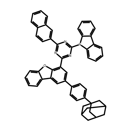 c1ccc2cc(-c3nc(-c4cc(-c5ccc(C67CC8CC(CC(C8)C6)C7)cc5)cc5c4oc4ccccc45)nc(-n4c5ccccc5c5ccccc54)n3)ccc2c1